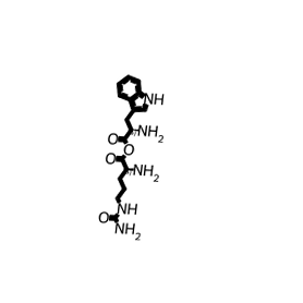 NC(=O)NCCC[C@H](N)C(=O)OC(=O)[C@@H](N)Cc1c[nH]c2ccccc12